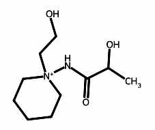 CC(O)C(=O)N[N+]1(CCO)CCCCC1